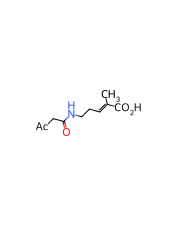 CC(=O)CC(=O)NCCC=C(C)C(=O)O